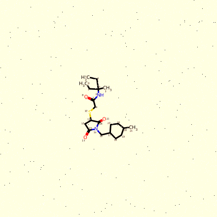 CCC(C)(CC)NC(=O)CSC1CC(=O)N(CC2CCC(C)CC2)C1=O